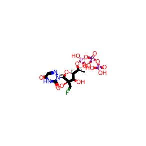 C[C@H](OP(=O)(O)OP(=O)(O)OP(=O)(O)O)[C@H]1O[C@@H](n2ncc(=O)[nH]c2=O)[C@@](O)(CF)C1O